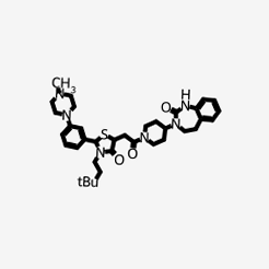 CN1CCN(c2cccc(C3SC(CC(=O)N4CCC(N5CCc6ccccc6NC5=O)CC4)C(=O)N3CCC(C)(C)C)c2)CC1